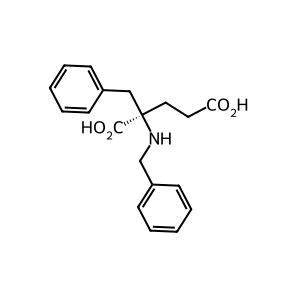 O=C(O)CC[C@](Cc1ccccc1)(NCc1ccccc1)C(=O)O